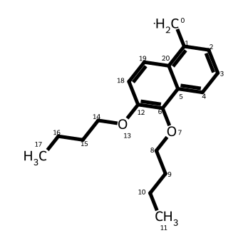 [CH2]c1cccc2c(OCCCC)c(OCCCC)ccc12